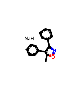 Cc1onc(-c2ccccc2)c1-c1cc[c]cc1.[NaH]